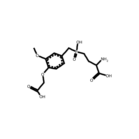 COc1cc(CP(=O)(O)CCC(N)C(=O)O)ccc1OCC(=O)O